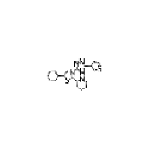 C1=C(c2ccccc2)SC(C2CCCCN2)N1c1nnc(-c2ccsc2)o1